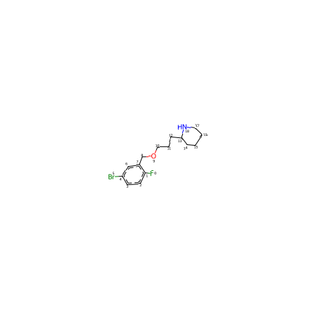 Fc1ccc(Br)cc1COCCCC1CCCCN1